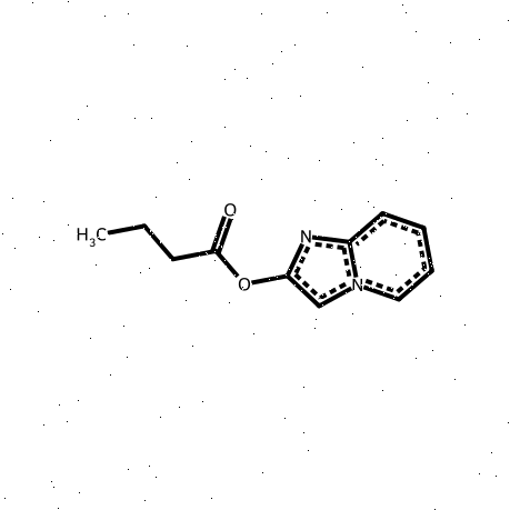 CCCC(=O)Oc1cn2ccccc2n1